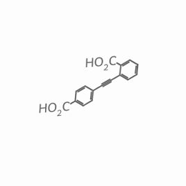 O=C(O)c1ccc(C#Cc2ccccc2C(=O)O)cc1